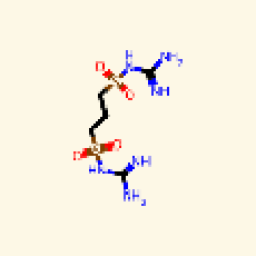 N=C(N)NS(=O)(=O)CCCS(=O)(=O)NC(=N)N